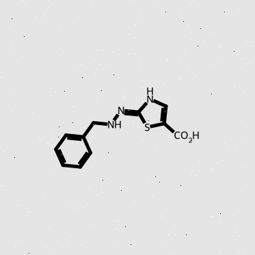 O=C(O)c1c[nH]c(=NNCc2ccccc2)s1